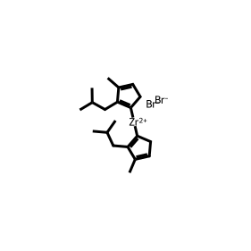 CC1=CC[C]([Zr+2][C]2=C(CC(C)C)C(C)=CC2)=C1CC(C)C.[Br-].[Br-]